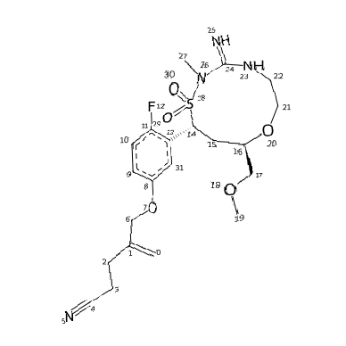 C=C(CCC#N)COc1ccc(F)c([C@H]2C[C@H](COC)OCCNC(=N)N(C)S2(=O)=O)c1